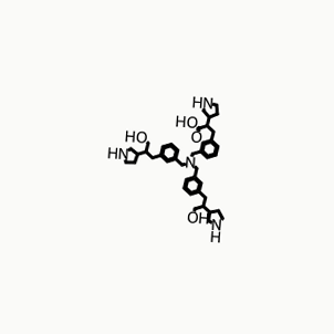 O=C(O)C(Cc1cccc(CN(Cc2cccc(CC(CO)C3CCNC3)c2)Cc2cccc(CC(CO)C3CCNC3)c2)c1)C1CCNC1